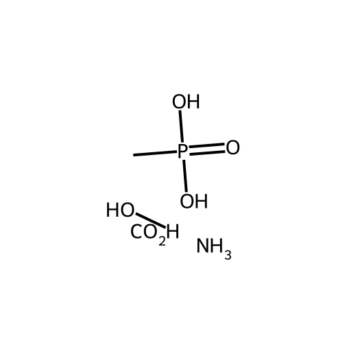 CP(=O)(O)O.N.O=C(O)O